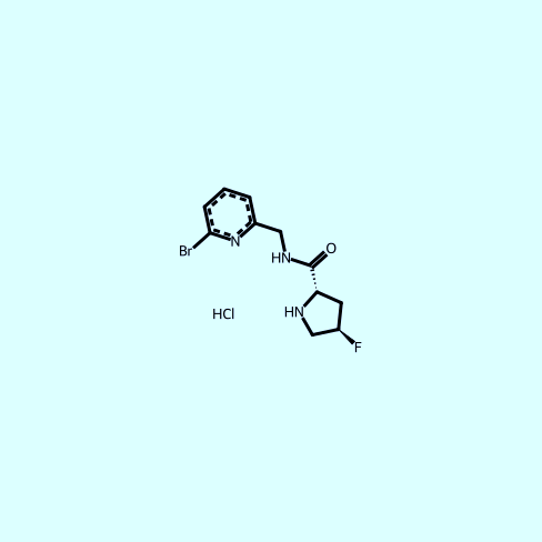 Cl.O=C(NCc1cccc(Br)n1)[C@@H]1C[C@@H](F)CN1